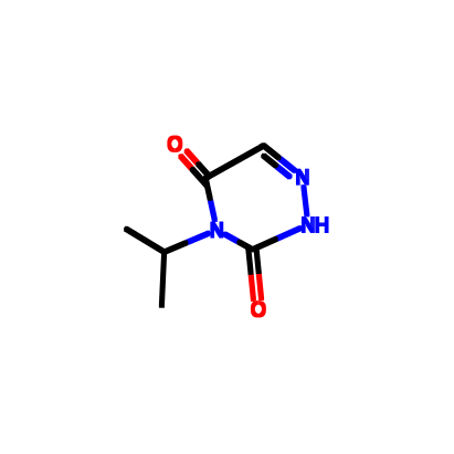 CC(C)n1c(=O)cn[nH]c1=O